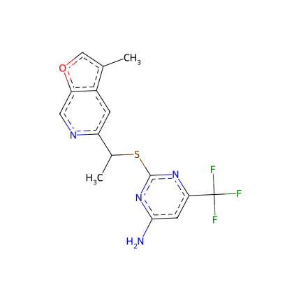 Cc1coc2cnc(C(C)Sc3nc(N)cc(C(F)(F)F)n3)cc12